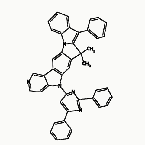 CC1(C)c2cc3c(cc2-n2c1c(-c1ccccc1)c1ccccc12)c1cnccc1n3-c1cc(-c2ccccc2)nc(-c2ccccc2)n1